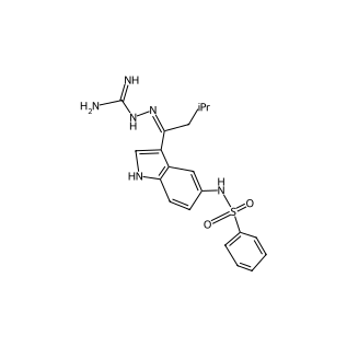 CC(C)C/C(=N/NC(=N)N)c1c[nH]c2ccc(NS(=O)(=O)c3ccccc3)cc12